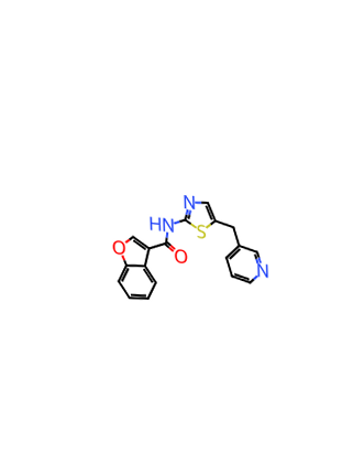 O=C(Nc1ncc(Cc2cccnc2)s1)c1coc2ccccc12